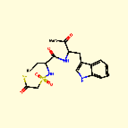 CNC(=O)C(Cc1c[nH]c2ccccc12)NC(=O)C(CC(C)C)NS(=O)(=O)CC(=O)S